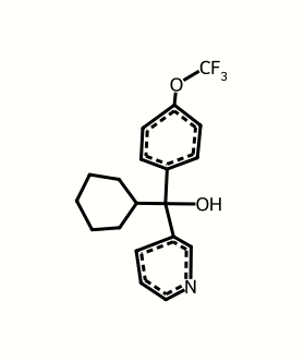 OC(c1ccc(OC(F)(F)F)cc1)(c1cccnc1)C1CCCCC1